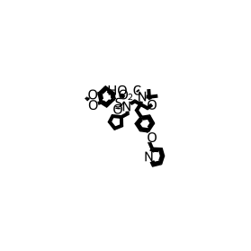 CC1(C)OCC(Cc2ccc(OCc3ccccn3)cc2)(CN(CC2CCCC2)S(=O)(=O)c2ccc3c(c2)OCO3)N1C(=O)O